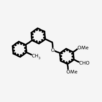 COc1cc(OCc2cccc(-c3ccccc3C)c2)cc(OC)c1C=O